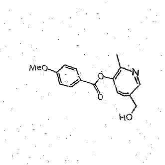 COc1ccc(C(=O)Oc2cc(CO)cnc2C)cc1